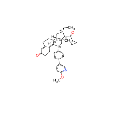 CC[C@@H]1C[C@H]2[C@@H]3CCC4=CC(=O)CCC4=C3[C@@H](c3ccc(-c4ccc(OC)nc4)cc3)C[C@]2(C)[C@H]1C(=O)C1CC1